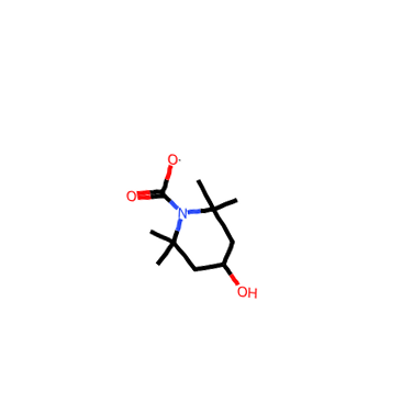 CC1(C)CC(O)CC(C)(C)N1C([O])=O